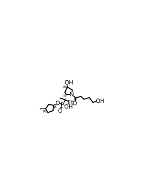 CCC(C)([C@@H]1C[C@@H](O)CN1C(=O)CCCCO)P(=O)(O)O[C@H]1CC[C@@H](C)C1